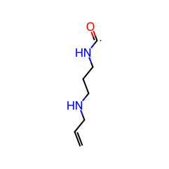 C=CCNCCCN[C]=O